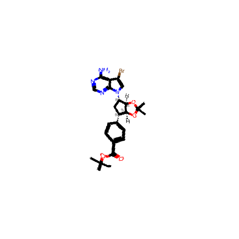 CC(C)(C)OC(=O)c1ccc([C@@H]2C[C@H](n3cc(Br)c4c(N)ncnc43)[C@H]3OC(C)(C)O[C@H]32)cc1